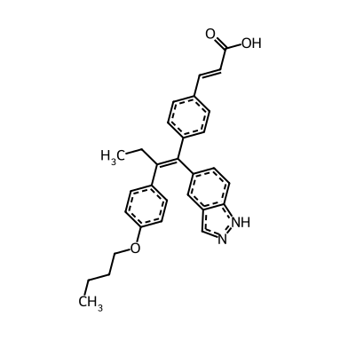 CCCCOc1ccc(C(CC)=C(c2ccc(C=CC(=O)O)cc2)c2ccc3[nH]ncc3c2)cc1